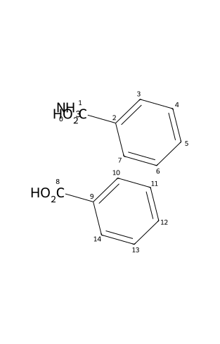 N.O=C(O)c1ccccc1.O=C(O)c1ccccc1